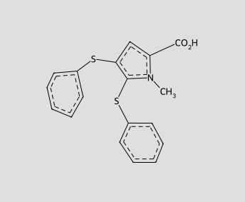 Cn1c(C(=O)O)cc(Sc2ccccc2)c1Sc1ccccc1